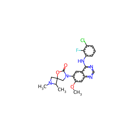 COc1cc2ncnc(Nc3cccc(Cl)c3F)c2cc1N1CC2(CN(C)C2C)OC1=O